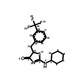 O=C1N=C(NC2CCCCC2)SC1Cc1cccc(C(F)(F)F)c1